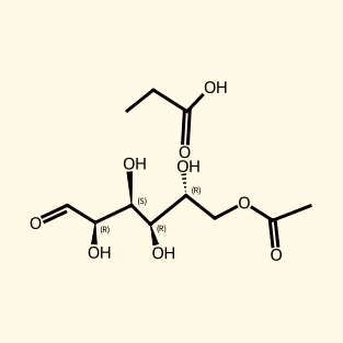 CC(=O)OC[C@@H](O)[C@@H](O)[C@H](O)[C@@H](O)C=O.CCC(=O)O